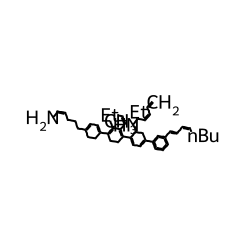 C=C/C=C\C(CC)NC1CC(c2cccc(/C=C/C=C\CCCC)c2)=CC=C1C1=C(/C=C\CC)C(C)=C(C2=CC=C(CCC/C=C\N)CC2)CC1